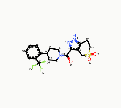 O=C(c1n[nH]c2c1CS(=O)(=O)CC2)N1CCC(c2ccccc2C(F)(F)F)CC1